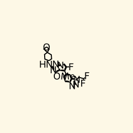 COc1nc(NC2CCC3(CC2)COC3)nn2cc(F)c(-c3ccc4nnn(CC(F)F)c4c3)c12